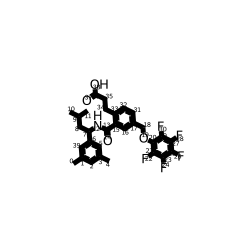 Cc1cc(C)cc(C(CC(C)C)NC(=O)c2cc(COc3c(F)c(F)c(F)c(F)c3F)ccc2CCC(=O)O)c1